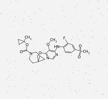 COc1c(Nc2ccc(S(C)(=O)=O)cc2F)ncnc1OCC12CCN(C(=O)OC3(C)CC3)CC1C2